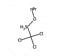 CCCO[SiH2]C(Cl)(Cl)Cl